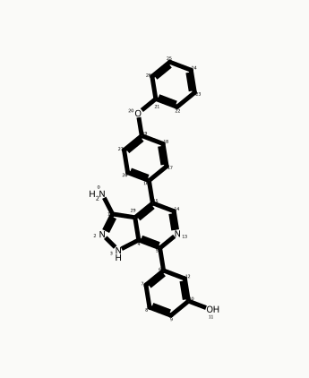 Nc1n[nH]c2c(-c3cccc(O)c3)ncc(-c3ccc(Oc4ccccc4)cc3)c12